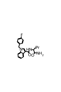 CC(C)C(NC(=O)c1cn(Cc2ccc(F)cc2)c2ccccc12)C(N)=O